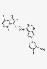 Cc1[nH]c2c(F)ccc(C)c2c1CCNc1ncnc2cc(-c3ccc(F)c(C#N)c3)sc12